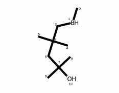 CBCC(C)(C)CC(C)(C)O